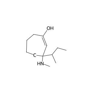 CCC(C)C1(NC)C=C(O)CCCC1